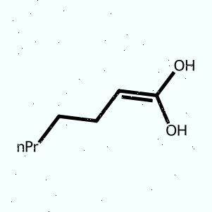 CCCCCC=C(O)O